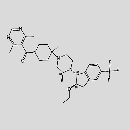 CCO[C@@H]1Cc2cc(C(F)(F)F)ccc2[C@H]1N1CCN(C2(C)CCN(C(=O)c3c(C)ncnc3C)CC2)C[C@@H]1C